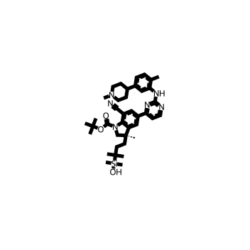 Cc1ccc(C2CCN(C)CC2)cc1Nc1nccc(-c2cc(C#N)c3c(c2)[C@@](C)(CCC(C)(C)[Si](C)(C)O)CN3C(=O)OC(C)(C)C)n1